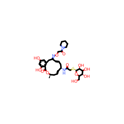 C[C@@H]1C/C=C/[C@@H](NC(=O)CS[C@@H]2OC(CO)[C@@H](O)C(O)[C@@H]2O)C/C=C/C(=N\OCC(=O)N2CCCCC2)Cc2cc(O)cc(O)c2C(=O)O1